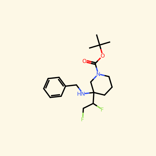 CC(C)(C)OC(=O)N1CCCC(NCc2ccccc2)(C(F)CF)C1